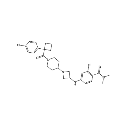 CN(C)C(=O)c1ccc(NC2CN(C3CCN(C(=O)C4(c5ccc(Cl)cc5)CCC4)CC3)C2)cc1Cl